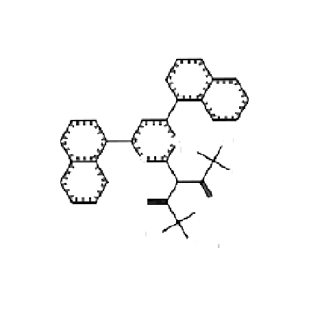 CC(C)(C)C(=O)C(C(=O)C(C)(C)C)c1nc(-c2cccc3ccccc23)cc(-c2cccc3ccccc23)n1.[Ir]